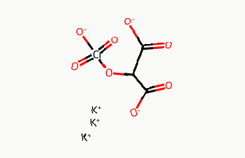 O=C([O-])C([O][Cr](=[O])(=[O])[O-])C(=O)[O-].[K+].[K+].[K+]